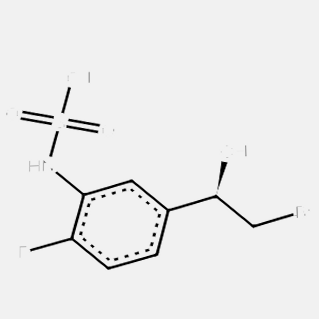 CS(=O)(=O)Nc1cc([C@@H](O)CBr)ccc1F